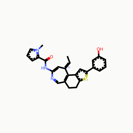 C/C=C1\C=C(NC(=O)c2cccn2C)N=CC2=C1c1cc(-c3cccc(O)c3)sc1CC2